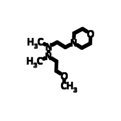 COCCN(C)N(C)CCN1CCOCC1